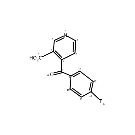 O=C(O)c1cnccc1C(=O)c1ccc(F)cc1